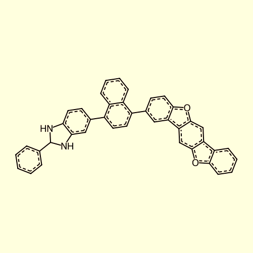 c1ccc(C2Nc3ccc(-c4ccc(-c5ccc6oc7cc8c(cc7c6c5)oc5ccccc58)c5ccccc45)cc3N2)cc1